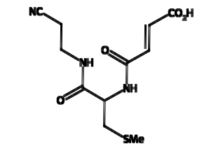 CSCC(NC(=O)C=CC(=O)O)C(=O)NCCC#N